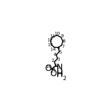 NC(CCCCC1CCCCCCCC1)C(=O)O